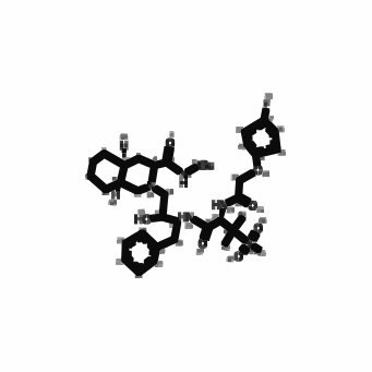 CC(C)(C)NC(=O)C1C[C@@H]2CCCC[C@@H]2CN1CC(O)C(Cc1ccccc1)NC(=O)[C@@H](NC(=O)COc1ccc(F)cc1)C(C)(C)S(C)(=O)=O